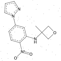 CC1(Nc2cc(-n3cccn3)ccc2[N+](=O)[O-])COC1